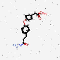 NC(=O)CCc1ccc(Oc2ccc(CC(=O)O)cc2)cc1